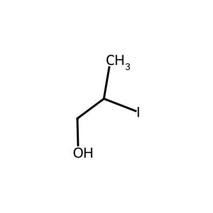 CC(I)CO